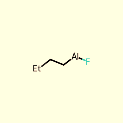 CCC[CH2][Al][F]